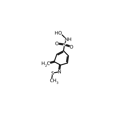 C=C1C=C(S(=O)(=O)NO)C=C/C1=N/SC